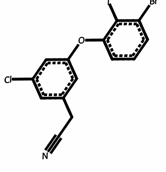 N#CCc1cc(Cl)cc(Oc2cccc(Br)c2I)c1